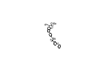 COC(=O)C(C(C)C)N1Cc2ccc(-c3ccc(NC(=O)c4cccc(Oc5ccccc5)c4)cc3)cc2C1=O